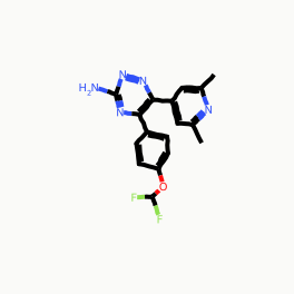 Cc1cc(-c2nnc(N)nc2-c2ccc(OC(F)F)cc2)cc(C)n1